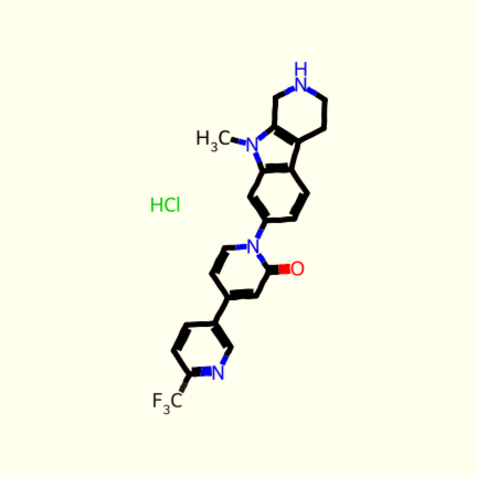 Cl.Cn1c2c(c3ccc(-n4ccc(-c5ccc(C(F)(F)F)nc5)cc4=O)cc31)CCNC2